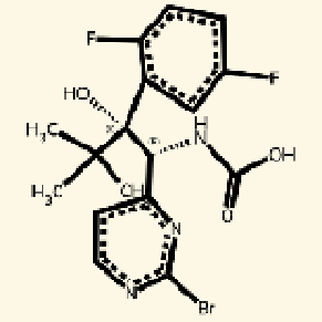 CC(C)(C)[C@@](O)(c1cc(F)ccc1F)[C@H](NC(=O)O)c1ccnc(Br)n1